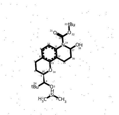 C[SiH](C)OC([C@H]1CCc2ccc3c(c2O1)CCC(O)N3C(=O)OC(C)(C)C)C(C)(C)C